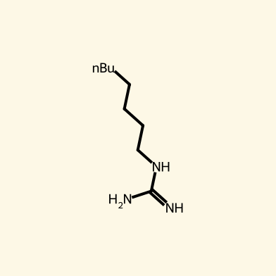 CCCCCCCCNC(=N)N